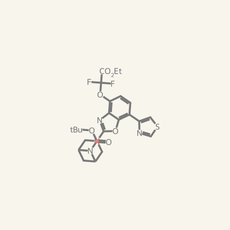 CCOC(=O)C(F)(F)Oc1ccc(-c2cscn2)c2oc(N3CC4CC(C3)N4C(=O)OC(C)(C)C)nc12